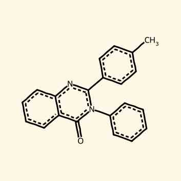 Cc1ccc(-c2nc3ccccc3c(=O)n2-c2ccccc2)cc1